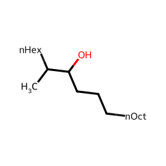 CCCCCCCCCCCC(O)C(C)CCCCCC